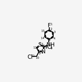 Cl.Fc1ccc(Nc2nc(CCl)cs2)cc1